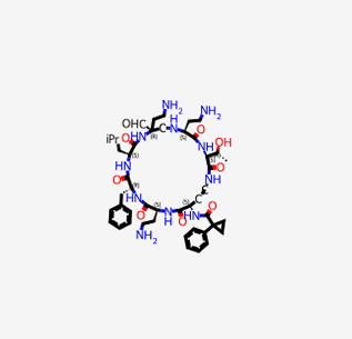 CC(C)C[C@@H]1NC(=O)[C@@H](Cc2ccccc2)NC(=O)[C@H](CCN)NC(=O)[C@@H](NC(=O)C2(c3ccccc3)CC2)CCNC(=O)[C@H]([C@@H](C)O)NC(=O)[C@H](CCN)NC[C@@](C=O)(CCN)NC1=O